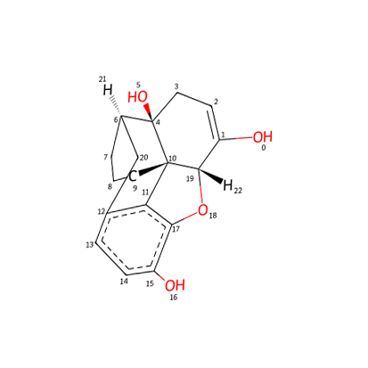 OC1=CC[C@@]2(O)[C@@H]3CCC[C@@]24c2c(ccc(O)c2O[C@@H]14)C3